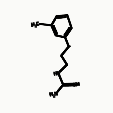 Cc1cccc([CH]CCNC(=N)N)c1